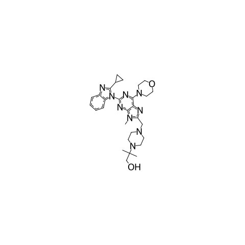 Cn1c(CN2CCN(C(C)(C)CO)CC2)nc2c(N3CCOCC3)nc(-n3c(C4CC4)nc4ccccc43)nc21